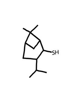 CC(C)C1CC2CC(C1S)C2(C)C